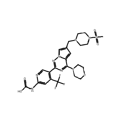 CS(=O)(=O)N1CCN(Cc2cc3c(N4CCOCC4)nc(-c4cnc(NC(=O)O)cc4C(F)(F)F)nn3c2)CC1